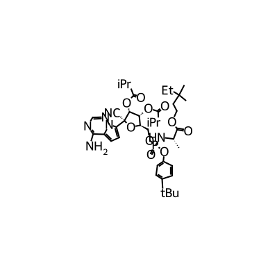 CCC(C)(C)CCOC(=O)[C@H](C)NP(=O)(OC[C@H]1O[C@@](C#N)(c2ccc3c(N)ncnn23)[C@H](OC(=O)C(C)C)[C@@H]1OC(=O)C(C)C)Oc1ccc(C(C)(C)C)cc1